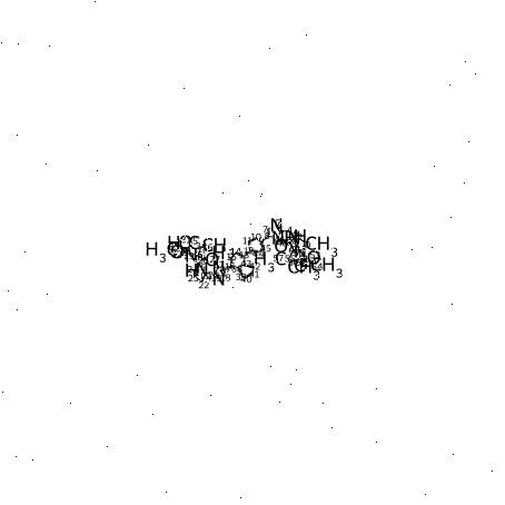 CCCN(Cc1ncc(-c2ccc(-c3ccc(-c4cnc([C@@H]5CCCN5C(=O)[C@@H](NC(=O)OC)C(C)C)[nH]4)c4ccccc34)cc2)[nH]1)C(=O)[C@@H](NC(=O)OC)C(C)C